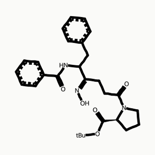 CC(C)(C)OC(=O)[C@@H]1CCCN1C(=O)CC/C(=N\O)C(Cc1ccccc1)NC(=O)c1ccccc1